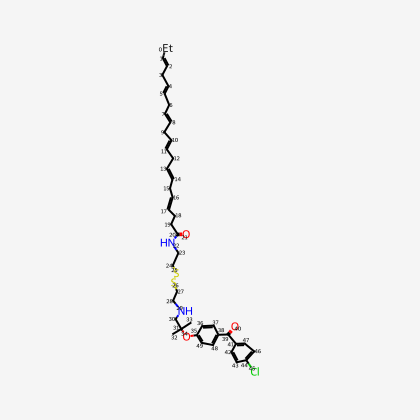 CCC=CCC=CCC=CCC=CCC=CCC=CCCC(=O)NCCSSCCNCC(C)(C)Oc1ccc(C(=O)c2ccc(Cl)cc2)cc1